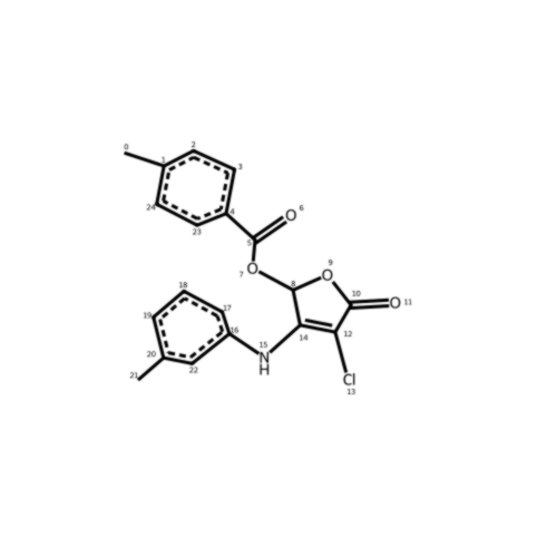 Cc1ccc(C(=O)OC2OC(=O)C(Cl)=C2Nc2cccc(C)c2)cc1